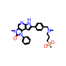 CN(CCCS(C)(=O)=O)Cc1ccc(-c2cc3c(ncc4c3n(-c3ccccc3)c(=O)n4C)[nH]2)cc1